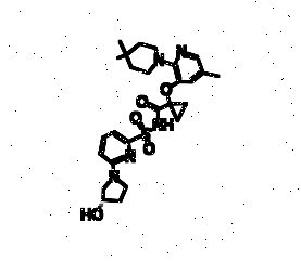 Cc1cnc(N2CCC(C)(C)CC2)c(OC2(C(=O)NS(=O)(=O)c3cccc(N4CC[C@H](O)C4)n3)CC2)c1